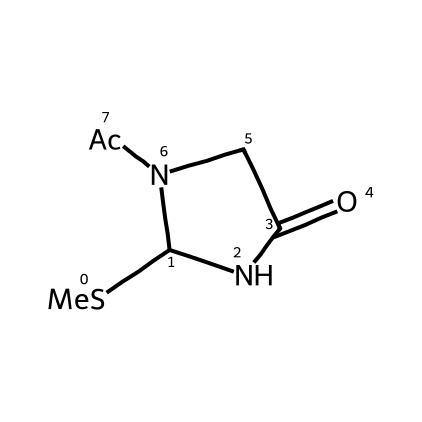 CSC1NC(=O)CN1C(C)=O